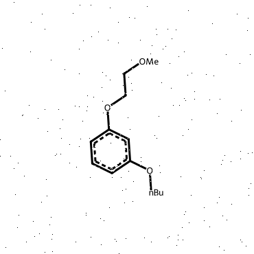 CCCCOc1cccc(OCCOC)c1